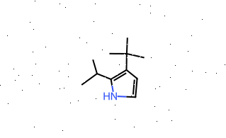 CC(C)c1[nH]ccc1C(C)(C)C